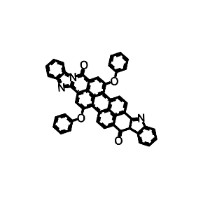 O=C1c2ccc3c4c(Oc5ccccc5)cc5c6c(cc(Oc7ccccc7)c(c7ccc(c2c73)C2=Nc3ccccc3C12)c46)c(=O)n1c2ccccc2nc51